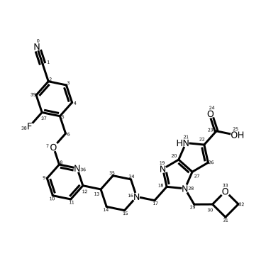 N#Cc1ccc(COc2cccc(C3CCN(Cc4nc5[nH]c(C(=O)O)cc5n4CC4CCO4)CC3)n2)c(F)c1